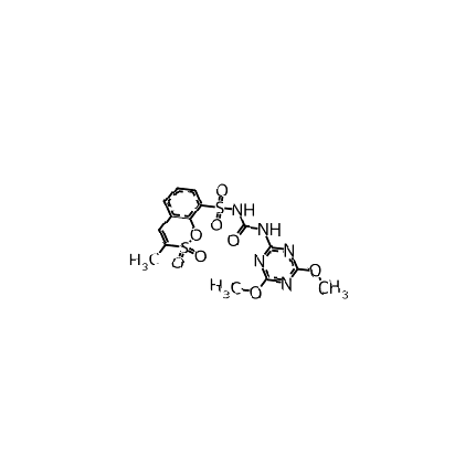 COc1nc(NC(=O)NS(=O)(=O)c2cccc3c2OS(=O)(=O)C(C)=C3)nc(OC)n1